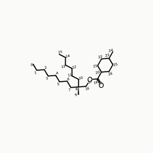 CCCCCCCC[C@](C)(CCCCCC)COC(=O)C1CCC(C)CC1